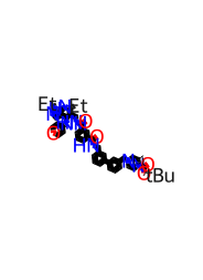 CCc1nc2c(cnn2CC)c(NC2CCOCC2)c1CNC(=O)c1cccc(C(=O)NCc2cccc(-c3cccc(CN4CCN(C(=O)OC(C)(C)C)[C@@H](C)C4)c3)c2)c1